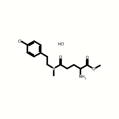 COC(=O)C(N)CCC(=O)N(C)CCc1ccc(Cl)cc1.Cl